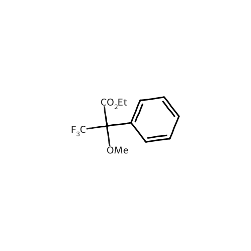 CCOC(=O)C(OC)(c1ccccc1)C(F)(F)F